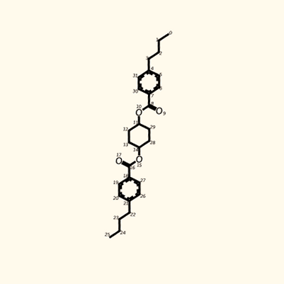 CCCCc1ccc(C(=O)OC2CCC(OC(=O)c3ccc(CCCC)cc3)CC2)cc1